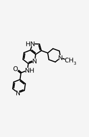 CN1CCC(c2c[nH]c3ccc(NC(=O)c4ccncc4)nc23)CC1